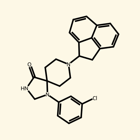 O=C1NCN(c2cccc(Cl)c2)C12CCN(C1Cc3cccc4cccc1c34)CC2